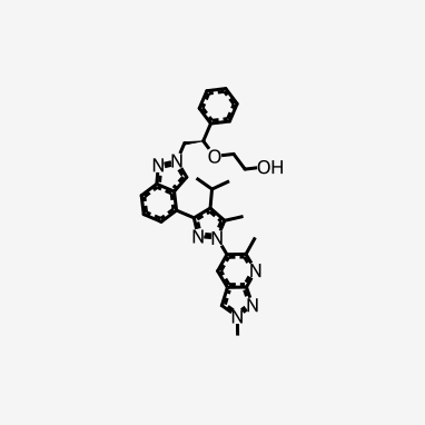 Cc1nc2nn(C)cc2cc1-n1nc(-c2cccc3nn(C[C@H](OCCO)c4ccccc4)cc23)c(C(C)C)c1C